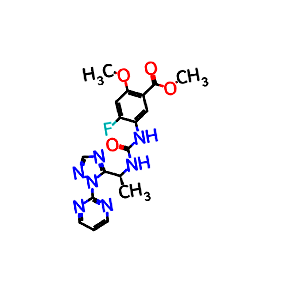 COC(=O)c1cc(NC(=O)N[C@@H](C)c2ncnn2-c2ncccn2)c(F)cc1OC